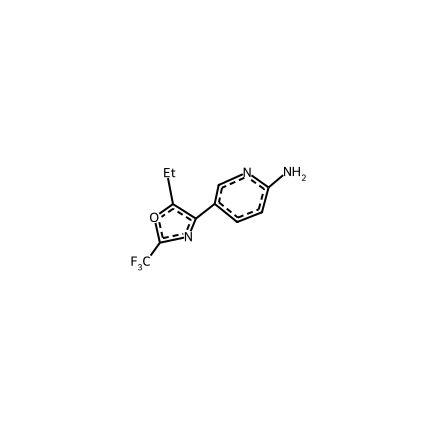 CCc1oc(C(F)(F)F)nc1-c1ccc(N)nc1